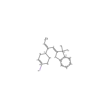 CC/C=C(\C=C1/Cc2ccccc2C1(C)C)C1CC=C(I)CC1